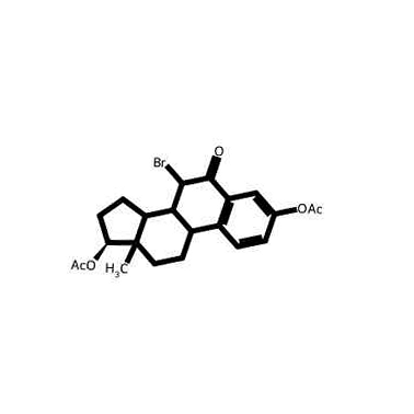 CC(=O)Oc1ccc2c(c1)C(=O)C(Br)C1C2CCC2(C)C1CC[C@@H]2OC(C)=O